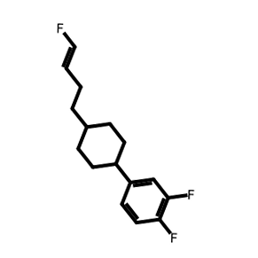 F/C=C/CCC1CCC(c2ccc(F)c(F)c2)CC1